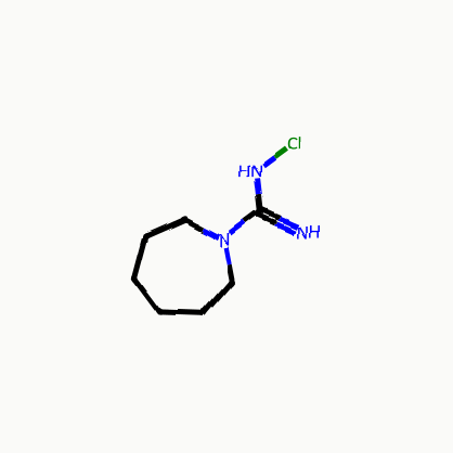 N=C(NCl)N1CCCCCC1